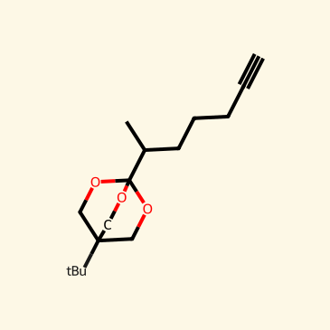 C#CCCCC(C)C12OCC(C(C)(C)C)(CO1)CO2